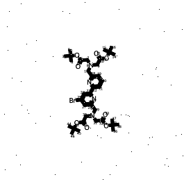 CC(C)(C)OC(=O)CN(CC(=O)OC(C)(C)C)Cc1cccc(-c2cc(Br)cc(CN(CC(=O)OC(C)(C)C)CC(=O)OC(C)(C)C)n2)n1